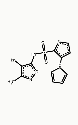 Cc1noc(NS(=O)(=O)c2sccc2[SH]2C=CC=C2)c1Br